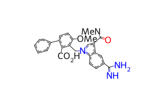 CNC(=O)c1cn(Cc2c(OC)ccc(-c3ccccc3)c2C(=O)O)c2ccc(C(=N)N)cc12